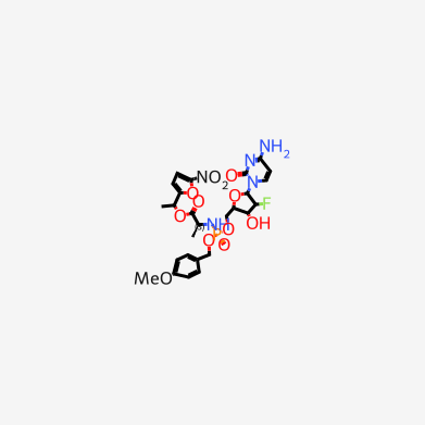 COc1ccc(COP(=O)(N[C@@H](C)C(=O)OC(C)c2ccc([N+](=O)[O-])o2)OCC2OC(n3ccc(N)nc3=O)C(F)C2O)cc1